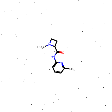 Cc1cccc(NC(=O)C2CCN2C(=O)O)n1